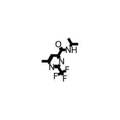 Cc1cc(C(=O)NC(C)C)nc(C(F)(F)F)n1